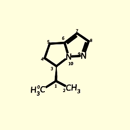 CC(C)[C@H]1CCc2ccnn21